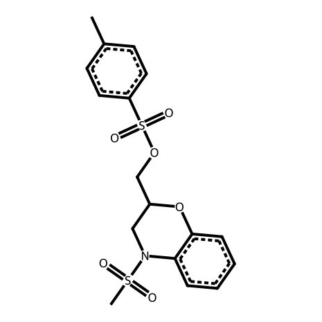 Cc1ccc(S(=O)(=O)OCC2CN(S(C)(=O)=O)c3ccccc3O2)cc1